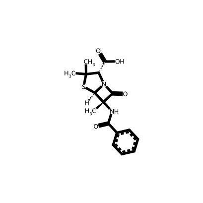 CC1(C)S[C@H]2N(C(=O)[C@]2(C)NC(=O)c2ccccc2)[C@H]1C(=O)O